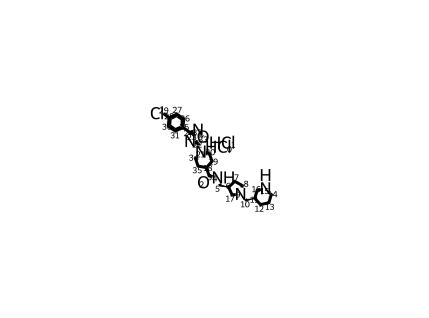 Cl.Cl.O=C(NC[C@H]1CCN(C[C@@H]2CCCNC2)C1)C1CCN(c2nc(-c3ccc(Cl)cc3)no2)CC1